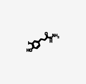 NNC(=O)CCc1ccc(O)c(I)c1